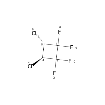 FC1(F)[C@@H](Cl)[C@H](Cl)C1(F)F